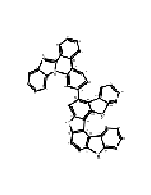 c1ccc2c(c1)nc1c3ccccc3c3ccc(-c4cc5oc6ccc7oc8ccccc8c7c6c5c5oc6ccccc6c45)cc3n21